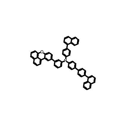 c1cc(-c2ccc3c(c2)-c2cccc4cccc(c24)O3)cc(N(c2ccc(-c3ccc(-c4cccc5ccccc45)cc3)cc2)c2ccc(-c3cccc4ccccc34)cc2)c1